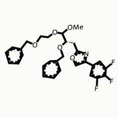 COC(OCCOCc1ccccc1)[C@H](Cc1nc(-c2cc(F)c(F)c(F)c2)co1)OCc1ccccc1